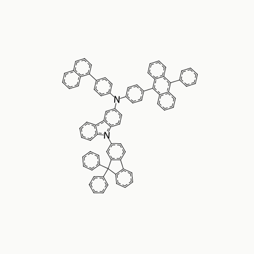 c1ccc(-c2c3ccccc3c(-c3ccc(N(c4ccc(-c5cccc6ccccc56)cc4)c4ccc5c(c4)c4ccccc4n5-c4ccc5c(c4)C(c4ccccc4)(c4ccccc4)c4ccccc4-5)cc3)c3ccccc23)cc1